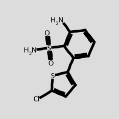 Nc1cccc(-c2ccc(Cl)s2)c1S(N)(=O)=O